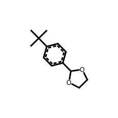 CC(C)(C)c1ccc(C2OCCO2)cc1